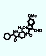 COc1ccc2c(C=O)c(C(=O)N3CCN(C(=O)C(N)C4CCCCC4)CC3)n(C)c2c1